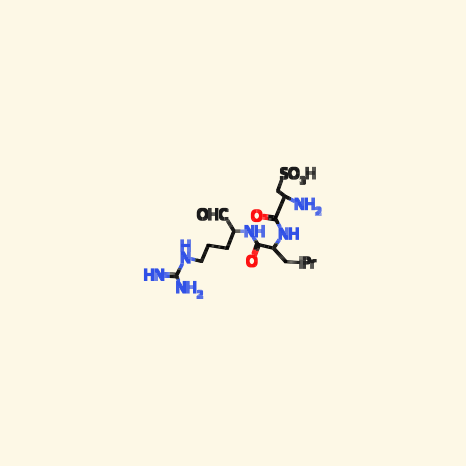 CC(C)CC(NC(=O)C(N)CS(=O)(=O)O)C(=O)NC(C=O)CCCNC(=N)N